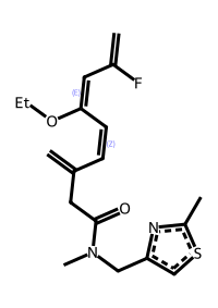 C=C(F)/C=C(\C=C/C(=C)CC(=O)N(C)Cc1csc(C)n1)OCC